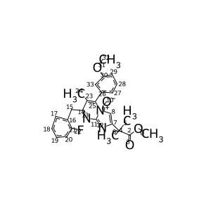 COC(=O)C(C)(C)C1=C[N+]2([O-])C(=N1)N=C(Cc1ccccc1F)C(C)=C2c1cccc(OC)c1